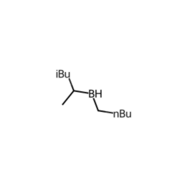 CCCCCBC(C)C(C)CC